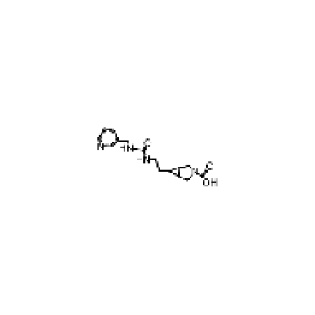 O=C(NCCC1C2CN(C(=O)O)CC12)NCc1cccnc1